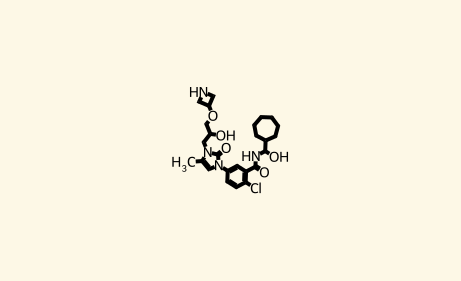 Cc1cn(-c2ccc(Cl)c(C(=O)NC(O)C3CCCCCC3)c2)c(=O)n1CC(O)COC1CNC1